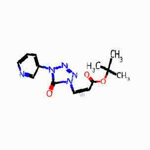 CC(C)(C)OC(=O)/C=C\n1nnn(-c2cccnc2)c1=O